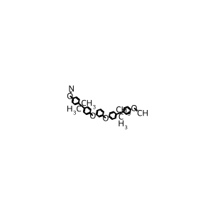 C#COc1ccc(C(C)(C)c2ccc(Oc3cccc(Oc4ccc(C(C)(C)c5ccc(OC#N)cc5)cc4)c3)cc2)cc1